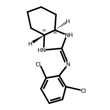 Clc1cccc(Cl)c1N=C1N[C@@H]2CCCC[C@H]2N1